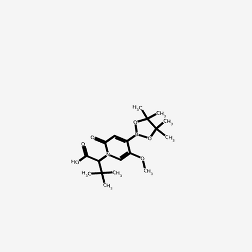 COc1cn(C(C(=O)O)C(C)(C)C)c(=O)cc1B1OC(C)(C)C(C)(C)O1